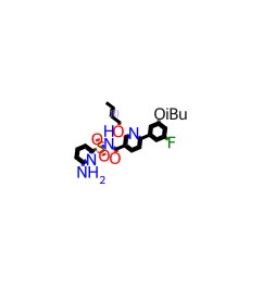 C/C=C/COc1nc(-c2cc(F)cc(OCC(C)C)c2)ccc1C(=O)NS(=O)(=O)c1cccc(N)n1